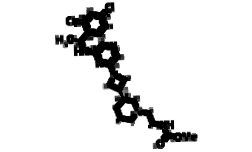 COC(=O)NCCN1CCC[C@H](C2CN(c3cncc(N[C@H](C)c4ccc(Cl)cc4Cl)n3)C2)C1